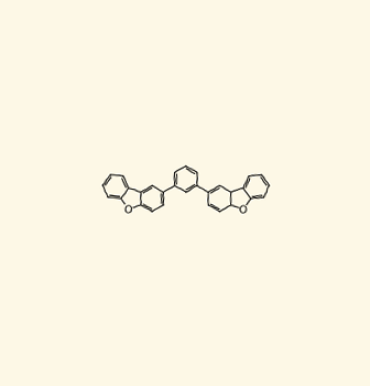 C1=CC2Oc3ccccc3C2C=C1c1cccc(-c2ccc3oc4ccccc4c3c2)c1